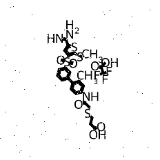 CSc1sc(C(=N)N)cc1S(=O)(=O)c1cccc(-c2ccc(NC(=O)CSCCC(=O)O)cc2C)c1.O=C(O)C(F)(F)F